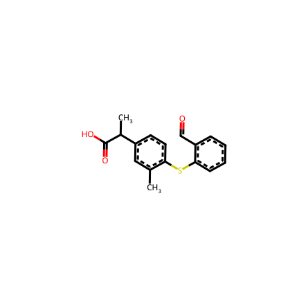 Cc1cc(C(C)C(=O)O)ccc1Sc1ccccc1C=O